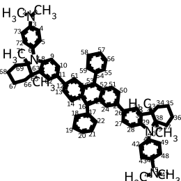 CN(C)c1ccc(N2c3ccc(-c4ccc5c(-c6ccccc6)c6cc(-c7ccc8c(c7)C7(C)CCCCC7(C)N8c7ccc(N(C)C)cc7)ccc6c(-c6ccccc6)c5c4)cc3C3(C)CCCCC23C)cc1